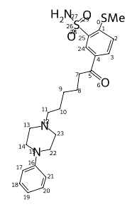 CSc1ccc(C(=O)CCCCCN2CCN(c3ccccc3)CC2)cc1S(N)(=O)=O